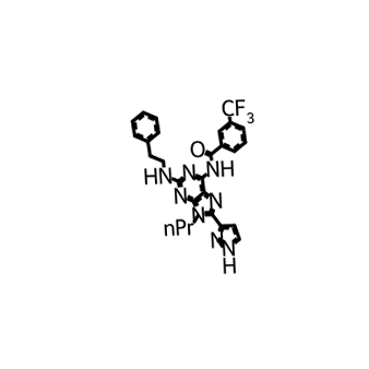 CCCn1c(-c2cc[nH]n2)nc2c(NC(=O)c3cccc(C(F)(F)F)c3)nc(NCCc3ccccc3)nc21